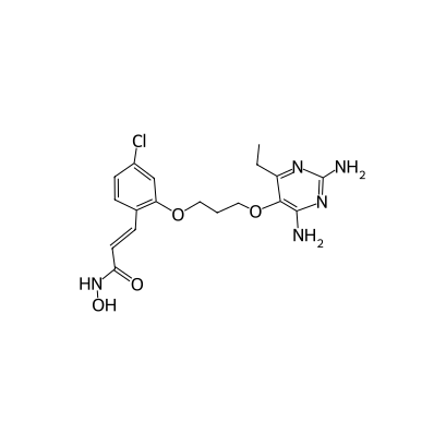 CCc1nc(N)nc(N)c1OCCCOc1cc(Cl)ccc1C=CC(=O)NO